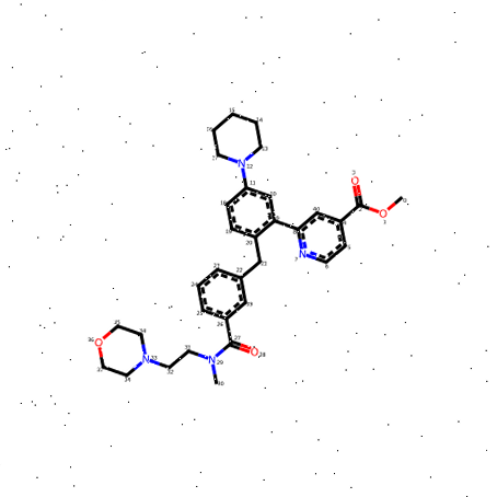 COC(=O)c1ccnc(-c2cc(N3CCCCC3)ccc2Cc2cccc(C(=O)N(C)CCN3CCOCC3)c2)c1